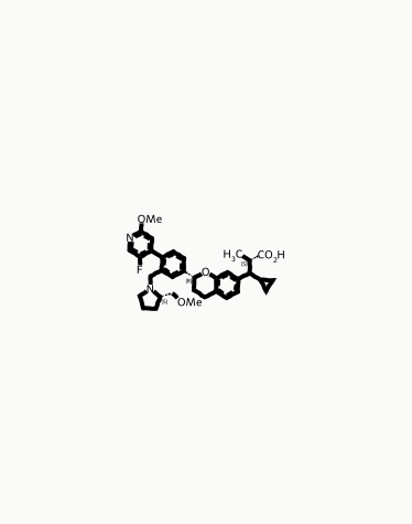 COC[C@@H]1CCCN1Cc1cc([C@H]2CCc3ccc(C(C4CC4)[C@H](C)C(=O)O)cc3O2)ccc1-c1cc(OC)ncc1F